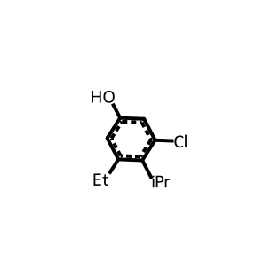 CCc1cc(O)cc(Cl)c1C(C)C